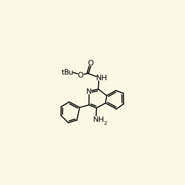 CC(C)(C)OC(=O)Nc1nc(-c2ccccc2)c(N)c2ccccc12